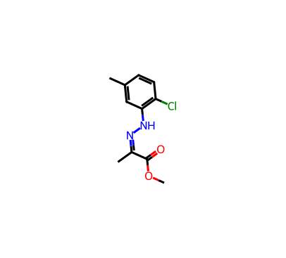 COC(=O)C(C)=NNc1cc(C)ccc1Cl